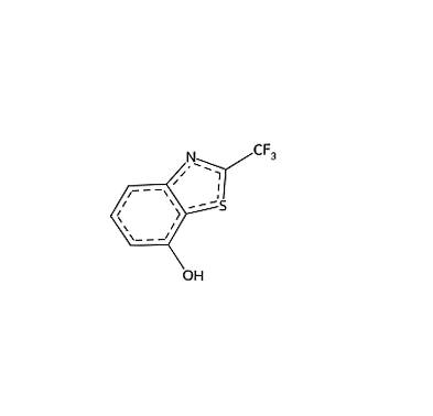 Oc1cccc2nc(C(F)(F)F)sc12